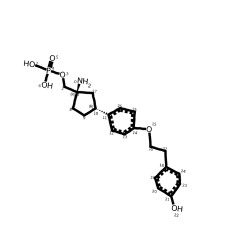 N[C@]1(COP(=O)(O)O)CC[C@@H](c2ccc(OCCc3ccc(O)cc3)cc2)C1